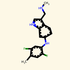 CNCc1c[nH]c2cc(Nc3cc(F)c(C)cc3F)ccc12